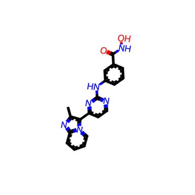 Cc1nc2ccccn2c1-c1ccnc(Nc2cccc(C(=O)NO)c2)n1